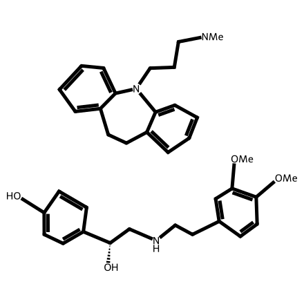 CNCCCN1c2ccccc2CCc2ccccc21.COc1ccc(CCNC[C@H](O)c2ccc(O)cc2)cc1OC